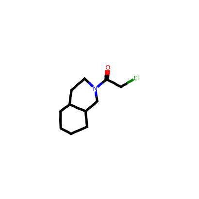 O=C(CCl)N1CCC2CCCCC2C1